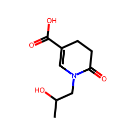 CC(O)CN1C=C(C(=O)O)CCC1=O